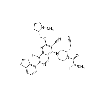 C=C(F)C(=O)N1CCN(c2c(C#N)c(OC[C@@H]3CCCN3C)nc3c(F)c(-c4cccc5sccc45)ncc23)C[C@@H]1CC#N